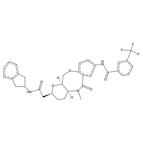 CN1C(=O)c2cc(NC(=O)c3cccc(C(F)(F)F)c3)ccc2OC[C@@H]2O[C@H](CC(=O)NC3Cc4ccccc4C3)CC[C@@H]21